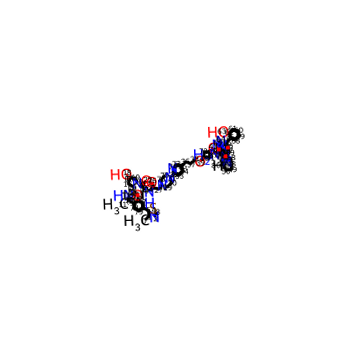 Cc1ncsc1-c1ccc([C@H](C)NC(=O)[C@@H]2C[C@@H](O)CN2C(=O)[C@@H](NC(=O)CN2CCN(c3ccc(CCCOC4CC(Oc5cc(N6C7CC[C@@H]6CN(c6cc(-c8ccccc8O)nnc6N)C7)ccn5)C4)cn3)CC2)C(C)(C)C)cc1